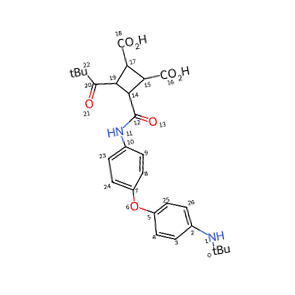 CC(C)(C)Nc1ccc(Oc2ccc(NC(=O)C3C(C(=O)O)C(C(=O)O)C3C(=O)C(C)(C)C)cc2)cc1